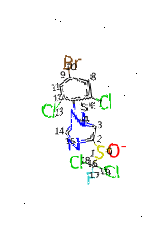 [O-][S+](c1cn(-c2c(Cl)cc(Br)cc2Cl)cn1)C(F)(Cl)Cl